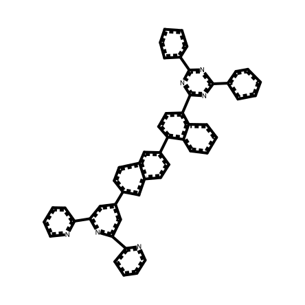 c1ccc(-c2nc(-c3ccccc3)nc(-c3ccc(-c4ccc5cc(-c6cc(-c7ccccn7)nc(-c7ccccn7)c6)ccc5c4)c4ccccc34)n2)cc1